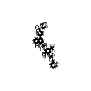 COc1c(NC(=O)Nc2ccc(-c3ccc(C(=O)N4CCOCC4)nc3)c3ccccc23)cc(C(C)(C)C)cc1NC(=O)OCC1CCCCN1C